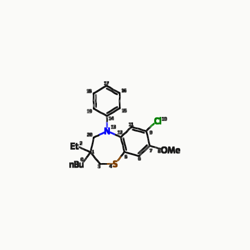 CCCCC1(CC)CSc2cc(OC)c(Cl)cc2N(c2ccccc2)C1